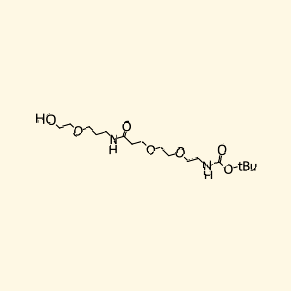 CC(C)(C)OC(=O)NCCOCCOCCC(=O)NCCCOCCO